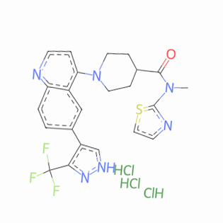 CN(C(=O)C1CCN(c2ccnc3ccc(-c4c[nH]nc4C(F)(F)F)cc23)CC1)c1nccs1.Cl.Cl.Cl